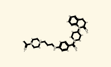 CC(=O)N1CCN(CCCOc2ccc(C(=O)N3CCC(N4C(=O)CCc5ccccc54)CC3)cc2)CC1